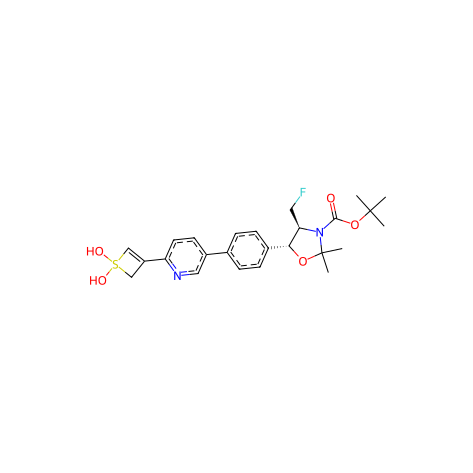 CC(C)(C)OC(=O)N1[C@H](CF)[C@@H](c2ccc(-c3ccc(C4=CS(O)(O)C4)nc3)cc2)OC1(C)C